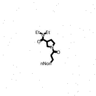 CCCCCCCCCCCC(=O)N1CCC(C(=O)N(CC)CC)C1